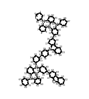 c1ccc(N2c3ccccc3B3c4cc(-c5ccc6c(c5)c5ccccc5n6-c5ccc(-c6cccc(N7c8ccc(-c9ccc%10c(c9)oc9ccccc9%10)cc8B8c9ccccc9N(c9ccccc9)c9cccc7c98)c6)cc5)ccc4N(c4ccccc4)c4cccc2c43)cc1